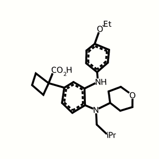 CCOc1ccc(Nc2cc(C3(C(=O)O)CCC3)ccc2N(CC(C)C)C2CCOCC2)cc1